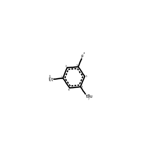 CCc1cc(F)cc(C(C)(C)C)c1